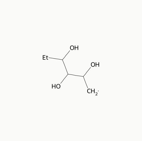 [CH2]CC(O)C(O)C([CH2])O